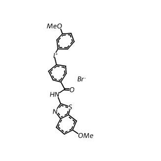 COc1cccc([I+]c2ccc(C(=O)Nc3nc4ccc(OC)cc4s3)cc2)c1.[Br-]